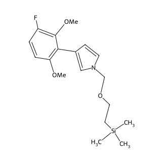 COc1ccc(F)c(OC)c1-c1ccn(COCC[Si](C)(C)C)c1